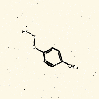 CC(C)COc1ccc(OSS)cc1